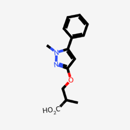 CC(COc1cc(-c2ccccc2)n(C)n1)C(=O)O